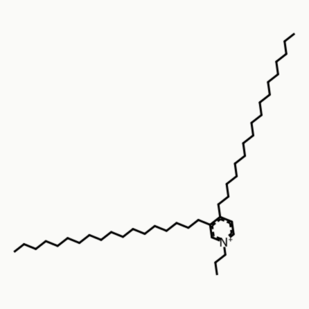 CCCCCCCCCCCCCCCCCCc1cc[n+](CCC)cc1CCCCCCCCCCCCCCCCCC